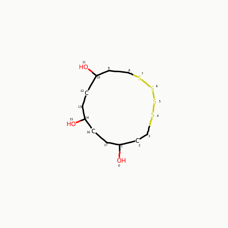 OC1CCSSSSCCC(O)CCC(O)CC1